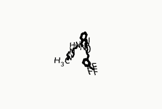 CN1CCN(CCNc2nc(OCCc3cccc(C(F)(F)F)c3)nc3ccccc23)CC1